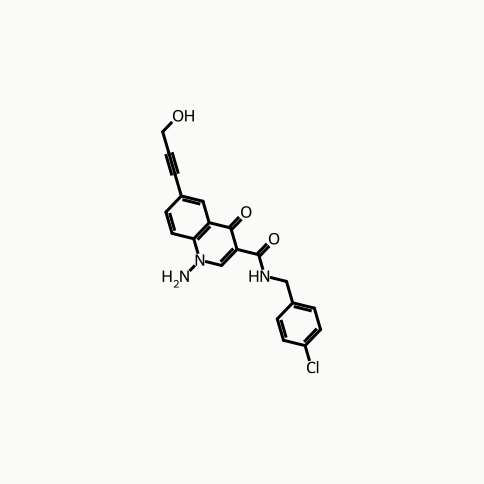 Nn1cc(C(=O)NCc2ccc(Cl)cc2)c(=O)c2cc(C#CCO)ccc21